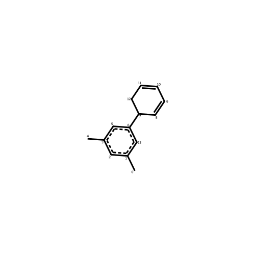 Cc1cc(C)cc(C2C=CC=CC2)c1